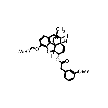 COCOc1ccc2c3c1O[C@H]1[C@@H](OC(=O)Cc4cccc(OC)c4)C=C[C@H]4[C@@H](C2)N(C)CC[C@@]341